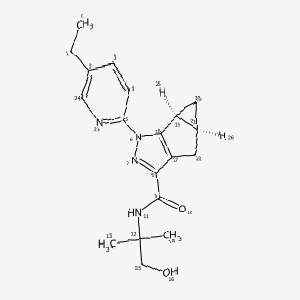 CCc1ccc(-n2nc(C(=O)NC(C)(C)CO)c3c2[C@H]2C[C@H]2C3)nc1